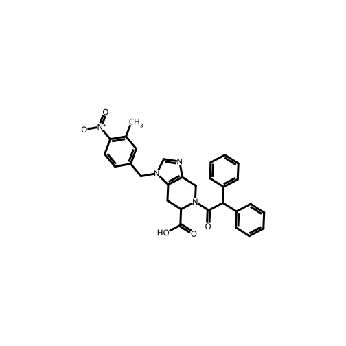 Cc1cc(Cn2cnc3c2CC(C(=O)O)N(C(=O)C(c2ccccc2)c2ccccc2)C3)ccc1[N+](=O)[O-]